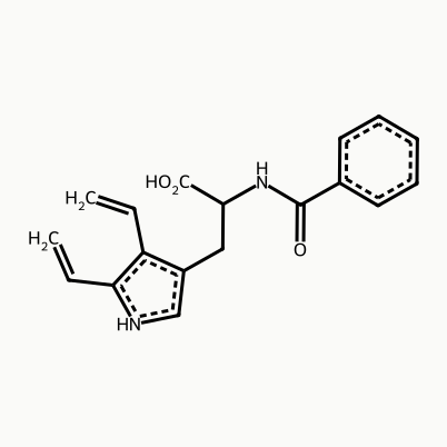 C=Cc1[nH]cc(CC(NC(=O)c2ccccc2)C(=O)O)c1C=C